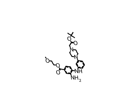 COCCOC(=O)c1ccc(Nc2cccc(N3CCN(CC(=O)OC(C)(C)C)CC3)c2)c(N)c1